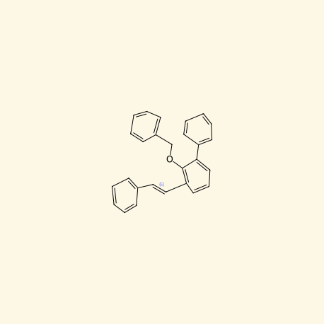 C(=C\c1cccc(-c2ccccc2)c1OCc1ccccc1)/c1ccccc1